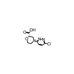 O=C(O)[C@@H]1CN(c2ccc(Cl)nn2)CCO1